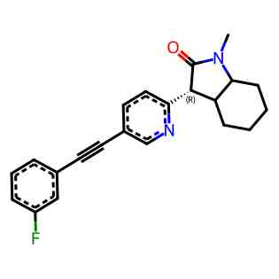 CN1C(=O)[C@@H](c2ccc(C#Cc3cccc(F)c3)cn2)C2CCCCC21